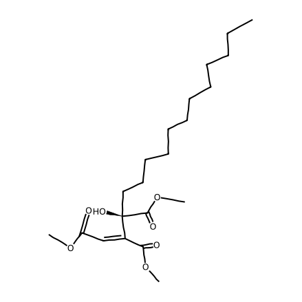 CCCCCCCCCCCC[C@](O)(C(=O)OC)/C(=C\C(=O)OC)C(=O)OC